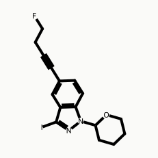 FCCC#Cc1ccc2c(c1)c(I)nn2C1CCCCO1